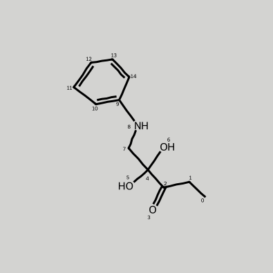 CCC(=O)C(O)(O)CNc1ccccc1